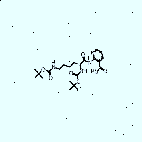 CC(C)(C)OC(=O)NCCCC[C@H](NC(=O)OC(C)(C)C)C(=O)Nc1ncccc1C(=O)O